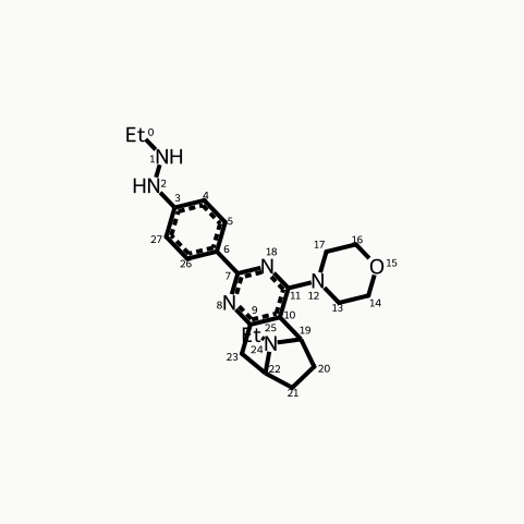 CCNNc1ccc(-c2nc3c(c(N4CCOCC4)n2)C2CCC(C3)N2CC)cc1